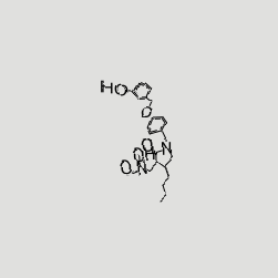 CCCCC1CN(Cc2ccc(OCc3cccc(O)c3)cc2)C(=O)C1CN(O)C=O